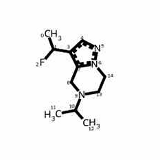 CC(F)c1cnn2c1CN(C(C)C)CC2